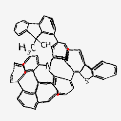 CC1(C)c2ccccc2-c2cccc(-c3cccc(N(c4ccccc4-c4cccc5c4sc4ccccc45)c4ccccc4-c4cccc5cccc(-c6ccccc6)c45)c3)c21